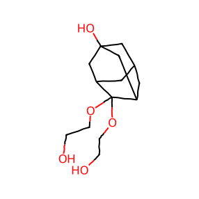 OCCOC1(OCCO)C2CC3CC1CC(O)(C3)C2